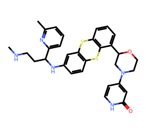 CNCCC(Nc1ccc2c(c1)Sc1cccc(C3CN(c4cc[nH]c(=O)c4)CCO3)c1S2)c1cccc(C)n1